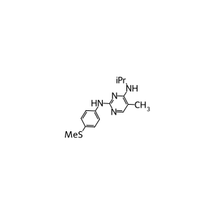 CSc1ccc(Nc2ncc(C)c(NC(C)C)n2)cc1